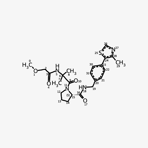 COCC(=O)NC(C)(C)C(=O)N1CCC[C@H]1C(=O)NCc1ccc(-c2scnc2C)cc1